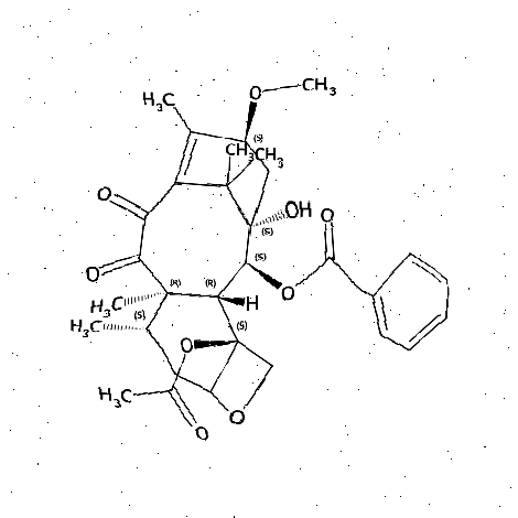 CO[C@H]1C[C@@]2(O)[C@@H](OC(=O)c3ccccc3)[C@H]3[C@](C)(C(=O)C(=O)C(=C1C)C2(C)C)[C@@H](C)CC1OC[C@]13OC(C)=O